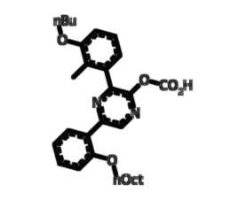 CCCCCCCCOc1ccccc1-c1cnc(OC(=O)O)c(-c2cccc(OCCCC)c2C)n1